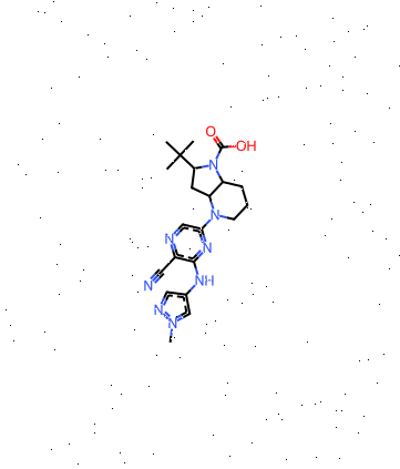 Cn1cc(Nc2nc(N3CCCC4C3CC(C(C)(C)C)N4C(=O)O)cnc2C#N)cn1